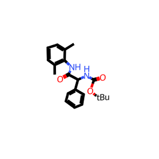 Cc1cccc(C)c1NC(=O)C(NC(=O)OC(C)(C)C)c1ccccc1